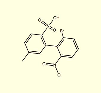 Cc1ccc(S(=O)(=O)O)c(-c2c(Br)cccc2[N+](=O)[O-])c1